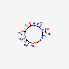 CCCCCCCCCC[C@H]1OCCNC(=O)[C@H](C(C)O)NC(=O)[C@H](CN)NC(=O)[C@H](C(C)CC)NC(=O)[C@H](CC(C)C)N(C)C(=O)[C@@H]1C